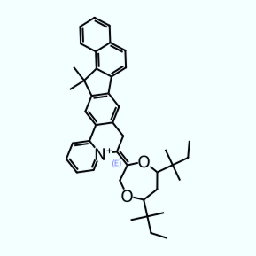 CCC(C)(C)C1CC(C(C)(C)CC)O/C(=C2\Cc3cc4c(cc3-c3cccc[n+]32)C(C)(C)c2c-4ccc3ccccc23)CO1